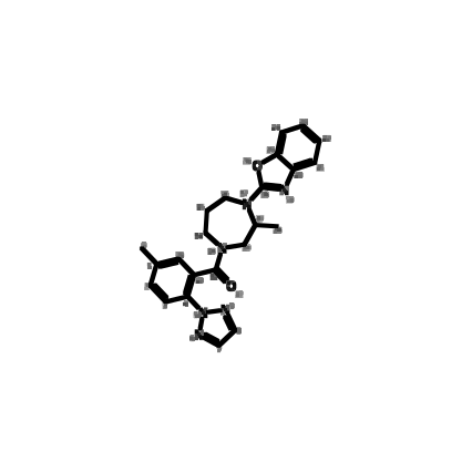 Cc1ccc(-n2nccn2)c(C(=O)N2CCCN(c3nc4ccccc4o3)C(C)C2)c1